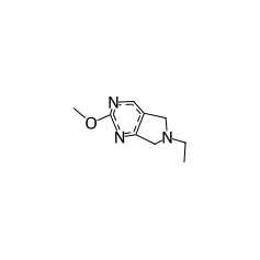 CCN1Cc2cnc(OC)nc2C1